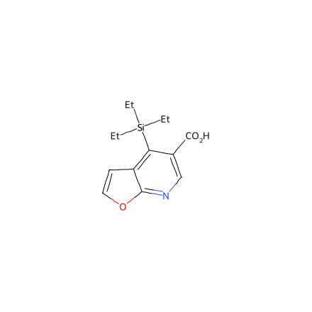 CC[Si](CC)(CC)c1c(C(=O)O)cnc2occc12